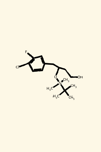 CC(C)(C)[Si](C)(C)OC(CCO)Cc1ccc(Cl)c(F)c1